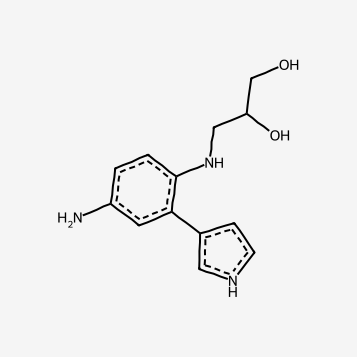 Nc1ccc(NCC(O)CO)c(-c2cc[nH]c2)c1